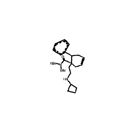 CCCCN(CCCC)C(=O)C1(CCNC2CCC2)CC=CCC1c1ccccc1